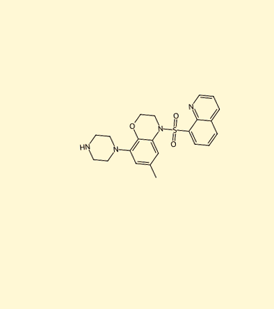 Cc1cc(N2CCNCC2)c2c(c1)N(S(=O)(=O)c1cccc3cccnc13)CCO2